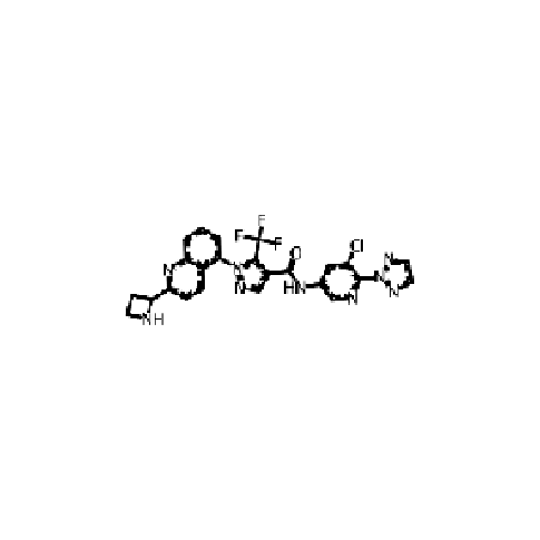 O=C(Nc1cnc(-n2nccn2)c(Cl)c1)c1cnn(-c2cccc3nc(C4CCN4)ccc23)c1C(F)(F)F